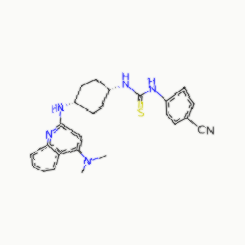 CN(C)c1cc(N[C@H]2CC[C@@H](NC(=S)Nc3ccc(C#N)cc3)CC2)nc2ccccc12